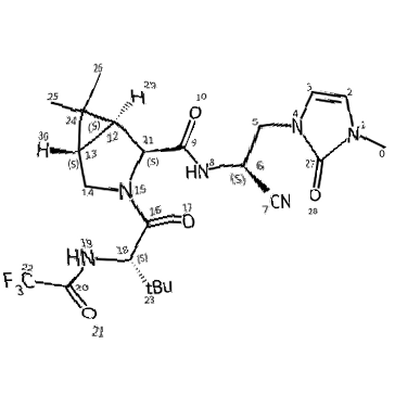 Cn1ccn(C[C@@H](C#N)NC(=O)[C@@H]2[C@H]3[C@H](CN2C(=O)[C@@H](NC(=O)C(F)(F)F)C(C)(C)C)C3(C)C)c1=O